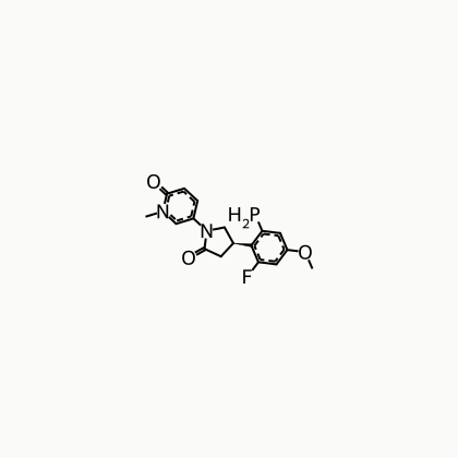 COc1cc(F)c([C@H]2CC(=O)N(c3ccc(=O)n(C)c3)C2)c(P)c1